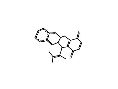 CC(C)=C(C)C1C2=C(CC3C=c4ccccc4=CC31)C(=O)C=CC2=O